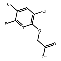 O=C(O)COc1nc(F)c(Cl)cc1Cl